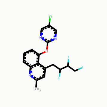 Cc1cc(CC(F)C(F)CF)c2c(Oc3ncc(Cl)cn3)cccc2n1